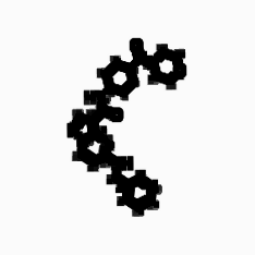 O=C(N[C@H]1CC[C@H](C(=O)N2CCOCC2)CC1)c1cnn2ccc(NCc3cccnc3)nc12